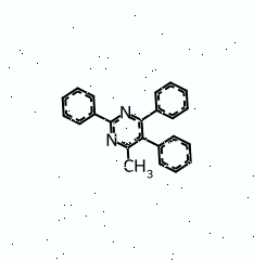 Cc1nc(-c2ccccc2)nc(-c2ccccc2)c1-c1ccccc1